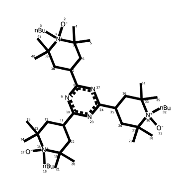 CCCC[N+]1([O-])C(C)(C)CC(c2nc(C3CC(C)(C)[N+]([O-])(CCCC)C(C)(C)C3)nc(C3CC(C)(C)[N+]([O-])(CCCC)C(C)(C)C3)n2)CC1(C)C